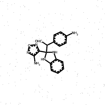 Nc1ccc(C(C=O)C2(c3nonc3N)Nc3ccccc3N2)cc1